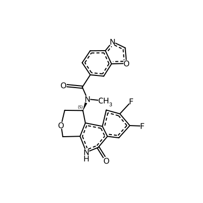 CN(C(=O)c1ccc2ncoc2c1)[C@@H]1COCc2[nH]c(=O)c3cc(F)c(F)cc3c21